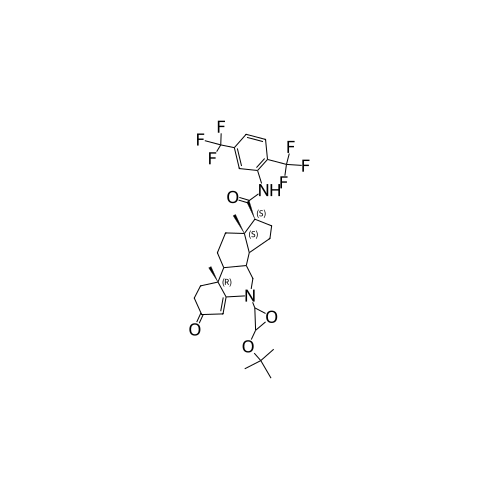 CC(C)(C)OC1OC1N1CC2C(CC[C@@]3(C)C2CC[C@@H]3C(=O)Nc2cc(C(F)(F)F)ccc2C(F)(F)F)[C@@]2(C)CCC(=O)C=C12